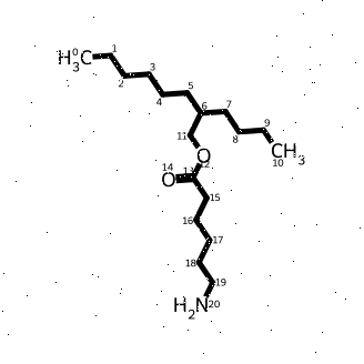 CCCCCCC(CCCC)COC(=O)CCCCCN